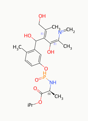 C=N/C(C)=C(O)\C(=C(/C)CO)C(O)c1cc(O[PH](=O)N[C@@H](C)C(=O)OC(C)C)ccc1C